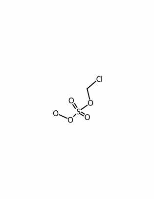 [O]OS(=O)(=O)OCCl